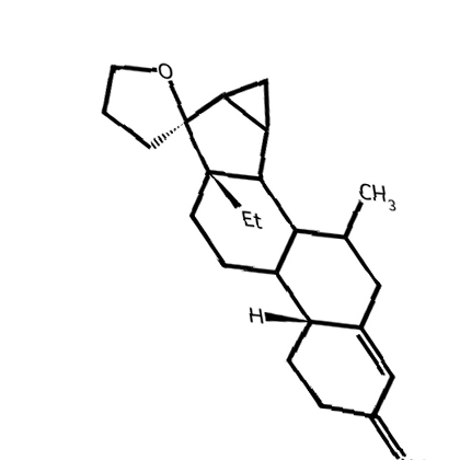 CC[C@]12CCC3C(C(C)CC4=CC(=N)CC[C@@H]43)C1C1CC1[C@@]21CCCO1